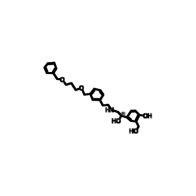 OCc1cc([C@@H](O)CNCCc2cccc(COCCCOCc3ccccc3)c2)ccc1O